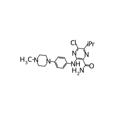 CC(C)c1nc(C(N)=O)c(Nc2ccc(N3CCN(C)CC3)cc2)nc1Cl